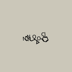 O=C(Cn1cncn1)C1(Oc2ccccc2Cl)CC1